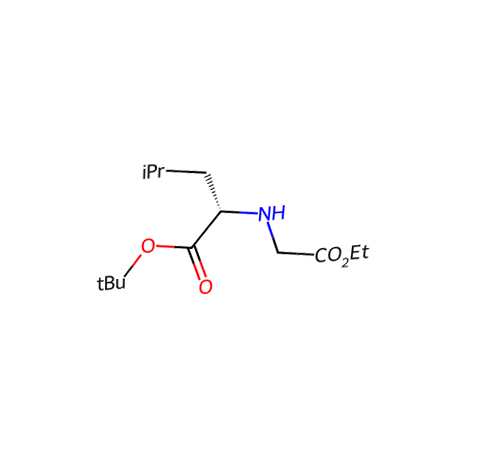 CCOC(=O)CN[C@@H](CC(C)C)C(=O)OC(C)(C)C